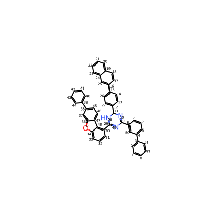 c1ccc(-c2cccc(C3=NC(c4ccc(-c5ccc6ccccc6c5)cc4)NC(c4cccc5oc6cc(-c7ccccc7)ccc6c45)=N3)c2)cc1